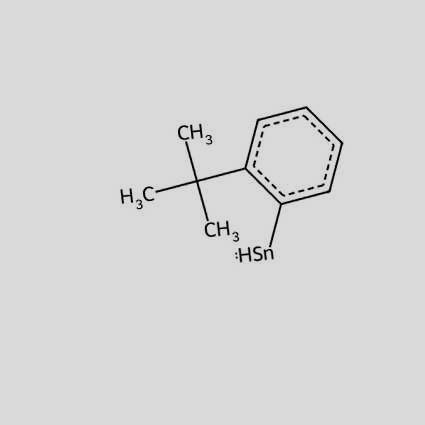 CC(C)(C)c1cccc[c]1[SnH]